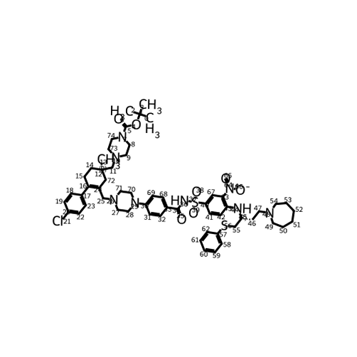 CC(C)(C)OC(=O)N1CCN(C[C@]2(C)CCC(c3ccc(Cl)cc3)=C(CN3CCN(c4ccc(C(=O)NS(=O)(=O)c5ccc(N[C@H](CCN6CCCCCC6)CSc6ccccc6)c([N+](=O)[O-])c5)cc4)CC3)C2)CC1